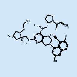 C#Cc1c(F)ccc2cc(O)cc(N3CCc4c(nc(OC[C@]5(C)C[C@@H](F)CN5CCO)nc4N(C)C[C@@H]4CCCN4C(=O)C=C)C3)c12